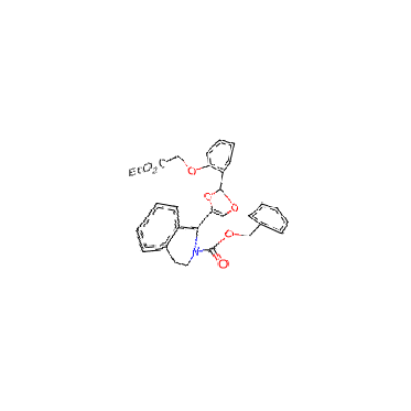 CCOC(=O)COc1ccccc1C1OC=C(C2c3ccccc3CCN2C(=O)OCc2ccccc2)O1